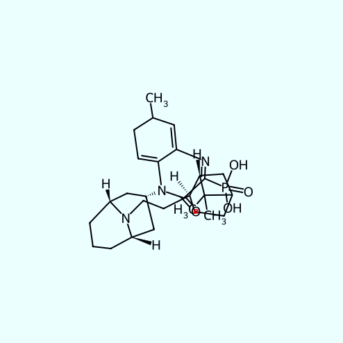 CC1C=c2nc(P(=O)(O)O)c(=O)n([C@H]3C[C@H]4CCC[C@@H](C3)N4CC[C@@H]3CCC4C[C@@H]3C4(C)C)c2=CC1